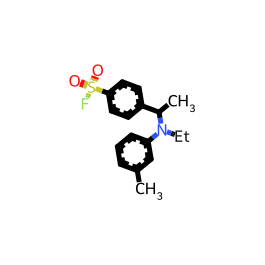 CCN(c1cccc(C)c1)C(C)c1ccc(S(=O)(=O)F)cc1